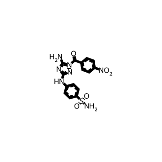 Nc1nc(Nc2ccc(S(N)(=O)=O)cc2)nn1C(=O)c1ccc([N+](=O)[O-])cc1